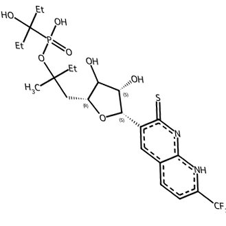 CCC(C)(C[C@H]1O[C@@H](c2cc3ccc(C(F)(F)F)[nH]c-3nc2=S)[C@@H](O)C1O)OP(=O)(O)C(O)(CC)CC